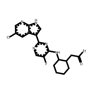 CCC(=O)CC1CCCCC1Nc1nc(-c2c[nH]c3ncc(Cl)cc23)ncc1F